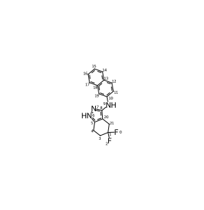 FC1(F)CCc2[nH]nc(Nc3ccc4ccccc4c3)c2C1